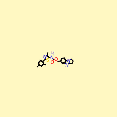 Cc1ccc(-c2nc(C)c(NC(=O)OCc3ccc4c(c3)nc3n4CCC3)s2)c(C)c1